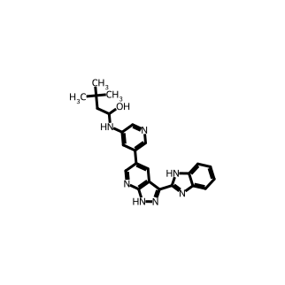 CC(C)(C)CC(O)Nc1cncc(-c2cnc3[nH]nc(-c4nc5ccccc5[nH]4)c3c2)c1